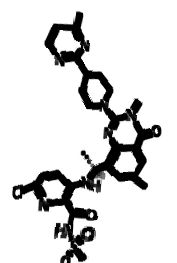 Cc1cc([C@@H](C)Nc2ccc(Cl)nc2C(=O)NS(C)(=O)=O)c2nc(N3CCC(c4nccc(C)n4)CC3)n(C)c(=O)c2c1